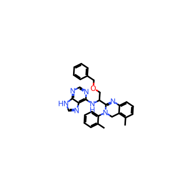 Cc1ccccc1N1Cc2c(C)cccc2N=C1C(COCc1ccccc1)Nc1ncnc2[nH]cnc12